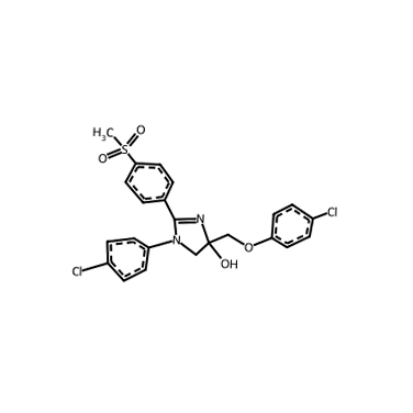 CS(=O)(=O)c1ccc(C2=NC(O)(COc3ccc(Cl)cc3)CN2c2ccc(Cl)cc2)cc1